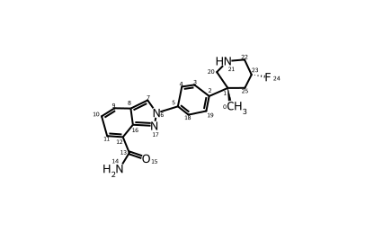 C[C@@]1(c2ccc(-n3cc4cccc(C(N)=O)c4n3)cc2)CNC[C@H](F)C1